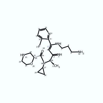 C[C@H](C(=N)/C=C(\NCCCN)c1ncccc1F)N(C(=O)[C@H]1CNCCO1)C1CC1